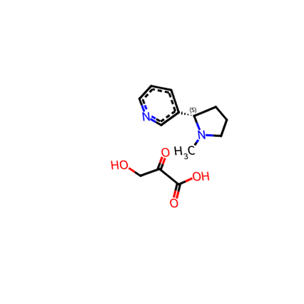 CN1CCC[C@H]1c1cccnc1.O=C(O)C(=O)CO